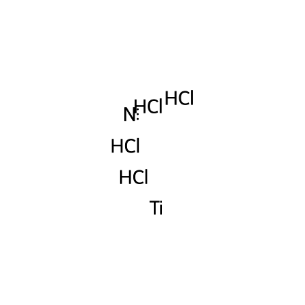 Cl.Cl.Cl.Cl.[N].[Ti]